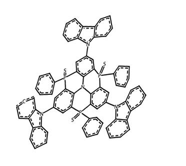 S=P1(c2ccccc2)c2cc(-n3c4ccccc4c4ccccc43)cc3c2N2c4c1cc(-n1c5ccccc5c5ccccc51)cc4P(=S)(c1ccccc1)c1cc(-n4c5ccccc5c5ccccc54)cc(c12)P3(=S)c1ccccc1